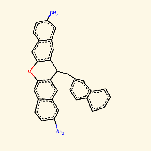 Nc1ccc2cc3c(cc2c1)C(Cc1ccc2ccccc2c1)c1cc2cc(N)ccc2cc1O3